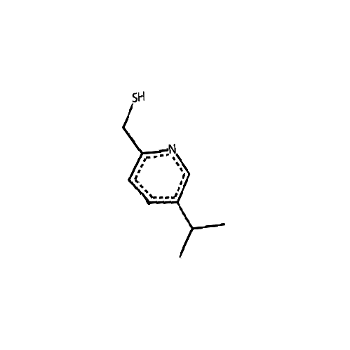 CC(C)c1ccc(CS)nc1